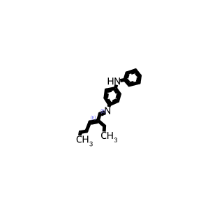 CCC/C=C(/C=N/c1ccc(Nc2ccccc2)cc1)CC